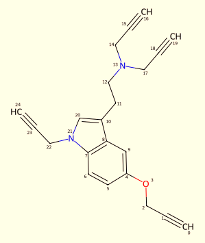 C#CCOc1ccc2c(c1)c(CCN(CC#C)CC#C)cn2CC#C